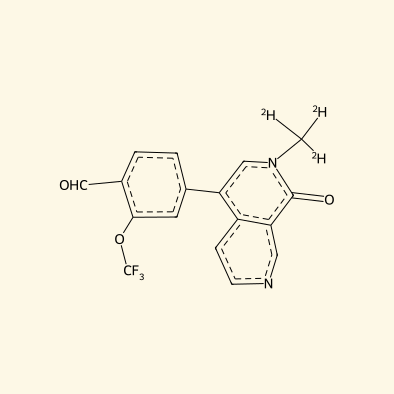 [2H]C([2H])([2H])n1cc(-c2ccc(C=O)c(OC(F)(F)F)c2)c2ccncc2c1=O